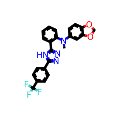 CN(c1ccc2c(c1)OCO2)c1ccccc1-c1nnc(-c2ccc(C(F)(F)F)cc2)[nH]1